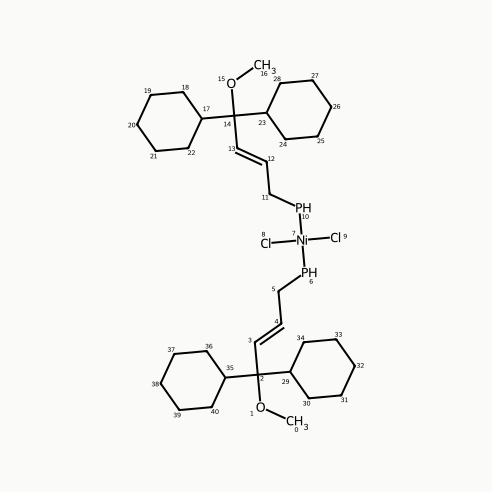 COC(C=CC[PH][Ni]([Cl])([Cl])[PH]CC=CC(OC)(C1CCCCC1)C1CCCCC1)(C1CCCCC1)C1CCCCC1